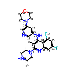 Cc1c(N2CCN[C@@H](C)C2)nc2cc(F)cc(F)c2c1Nc1cncc(N2CCOCC2)c1